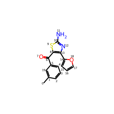 Cc1cccc(C(=O)c2sc(N)nc2-c2ccco2)c1